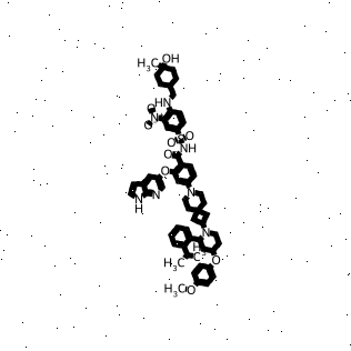 COc1ccc(OC2CCN(C3CC4(CCN(c5ccc(C(=O)NS(=O)(=O)c6ccc(NCC7CCC(C)(O)CC7)c([N+](=O)[O-])c6)c(Oc6cnc7[nH]ccc7c6)c5)CC4)C3)C(c3ccccc3C(C)C)C2)cc1